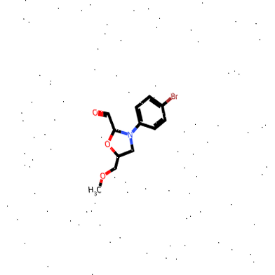 COCC1CN(c2ccc(Br)cc2)C(C=O)O1